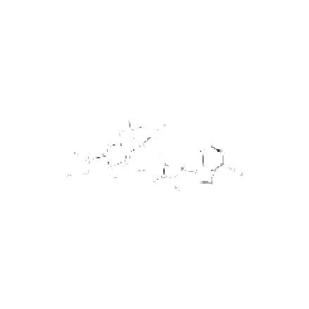 CC(=O)OC[C@@H](OC(C)=O)[C@H]1O[C@@H](OP(=O)(O)OP(=O)(O)OC[C@H]2O[C@@H](n3cnc4c(N)ncnc43)[C@H](O)[C@H]2F)[C@@H](OC(C)=O)[C@@H](OC(C)=O)[C@@H]1OC(C)=O